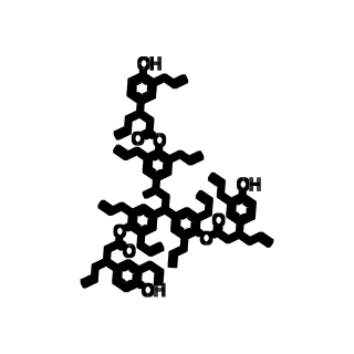 C=CCc1cc(C(CC=C)CC(=O)Oc2c(CC=C)cc(C(C)CC(c3cc(CC=C)c(OC(=O)CC(CC=C)c4ccc(O)c(CC=C)c4)c(CC=C)c3)c3cc(CC=C)c(OC(=O)CC(CC=C)c4ccc(O)c(CC=C)c4)c(CC=C)c3)cc2CC=C)ccc1O